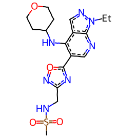 CCn1ncc2c(NC3CCOCC3)c(-c3nc(CNS(C)(=O)=O)no3)cnc21